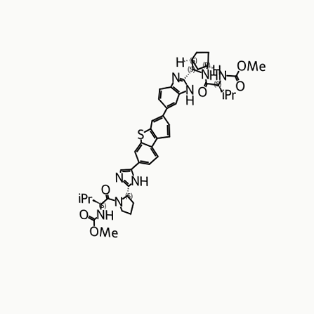 COC(=O)N[C@H](C(=O)N1CCC[C@H]1c1ncc(-c2ccc3c(c2)sc2cc(-c4ccc5nc([C@@H]6[C@H]7CC[C@H](C7)N6C(=O)[C@@H](NC(=O)OC)C(C)C)[nH]c5c4)ccc23)[nH]1)C(C)C